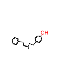 CC(=CCc1ccccc1)CCc1ccc(O)cc1